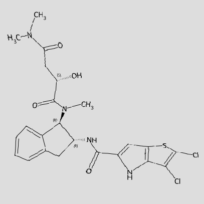 CN(C)C(=O)C[C@H](O)C(=O)N(C)[C@@H]1c2ccccc2C[C@H]1NC(=O)c1cc2sc(Cl)c(Cl)c2[nH]1